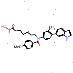 COc1ccc(C(=O)N(CCCCCCC(=O)NO)c2ccc(-c3ccc4cc[nH]c4c3)c(C)c2)cc1